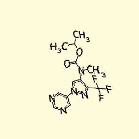 CC(C)OC(=O)N(C)c1cn(-c2cncnc2)nc1C(F)(F)F